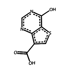 O=C(O)c1csc2c(O)ncnc12